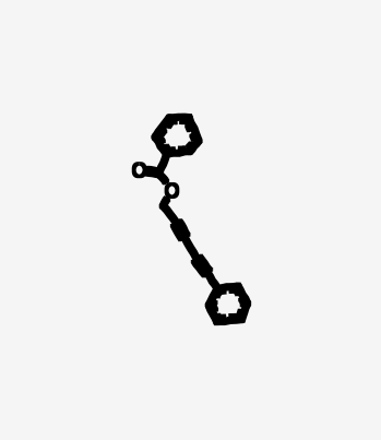 O=C(OCC#CC#Cc1ccccc1)c1ccccc1